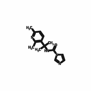 Cc1ccc(C(C)(C)NC(=O)n2ccnc2)c(C)n1